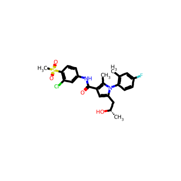 Cc1cc(F)ccc1-n1c(C[C@H](C)O)cc(C(=O)Nc2ccc(S(C)(=O)=O)c(Cl)c2)c1C